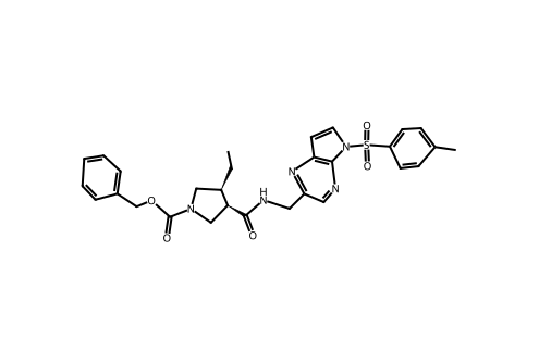 CC[C@@H]1CN(C(=O)OCc2ccccc2)C[C@@H]1C(=O)NCc1cnc2c(ccn2S(=O)(=O)c2ccc(C)cc2)n1